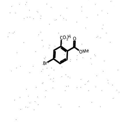 COC(=O)c1ccc(Br)cc1C(=O)O